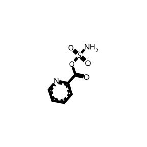 NS(=O)(=O)OC(=O)c1ccccn1